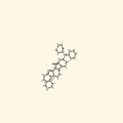 c1ccc(N(c2ccccc2)c2ccc3c(c2)[nH]c2c3ccc3c2oc2ccc4ccccc4c23)cc1